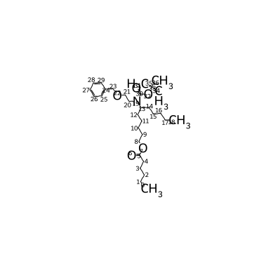 CCCCCC(=O)OCCCCCC(CCCCC)N(CCOCc1ccccc1)C(=O)OC(C)(C)C